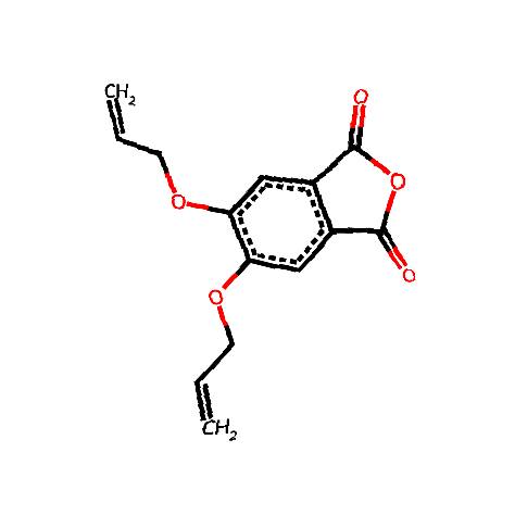 C=CCOc1cc2c(cc1OCC=C)C(=O)OC2=O